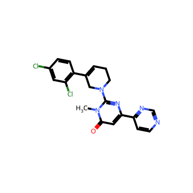 Cn1c(N2CCC=C(c3ccc(Cl)cc3Cl)C2)nc(-c2ccncn2)cc1=O